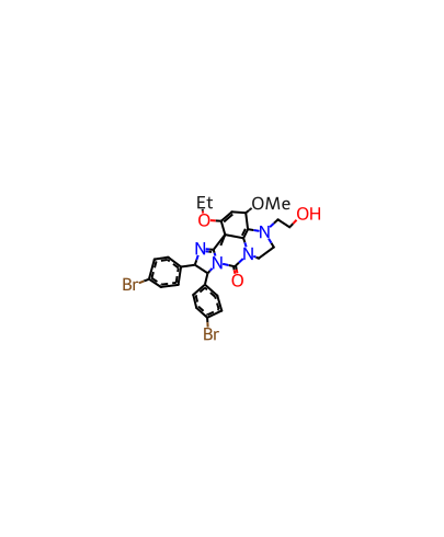 CCOC1=CC(OC)C2=C3N(CCN2CCO)C(=O)N2C(=NC(c4ccc(Br)cc4)C2c2ccc(Br)cc2)C13C